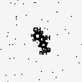 CCCOc1ccc2c(c1)[nH]c1cc(C)ccc12